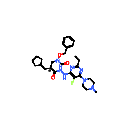 CCc1nc(NNC(=O)[C@@H](CC2CCCC2)CN(C=O)OCc2ccccc2)c(F)c(N2CCN(C)CC2)n1